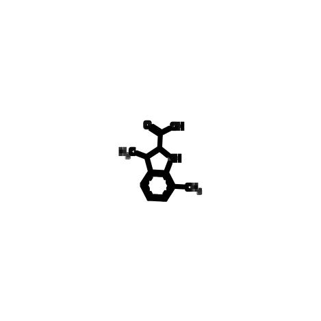 Cc1cccc2c1NC(C(=O)O)C2C